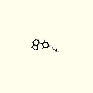 Cc1cc(OCC(C)(C)O)cc(C)c1-c1cccc2c1CCC2